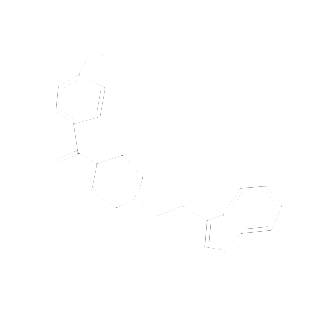 O=C(c1ccc(C(F)(F)F)cc1)C1CCN(CCc2c[nH]c3ccccc23)CC1